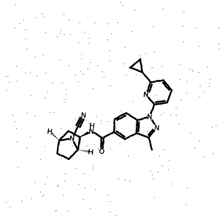 Cc1nn(-c2cccc(C3CC3)n2)c2ccc(C(=O)N[C@@H]3C[C@@H]4CC[C@H]3N4C#N)cc12